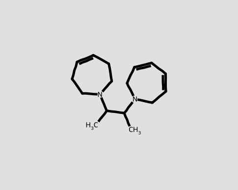 CC(C(C)N1CCC=CCC1)N1CC=CC=CC1